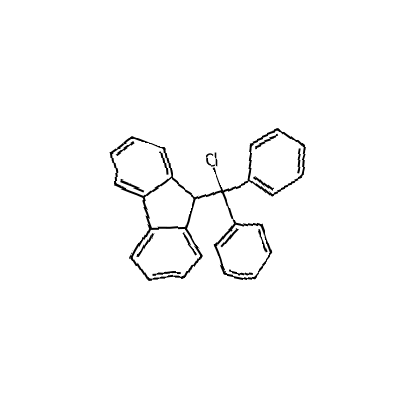 ClC(c1ccccc1)(c1ccccc1)C1c2ccccc2-c2ccccc21